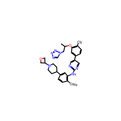 COc1ccc(C2CCN(C3COC3)CC2)cc1Nc1ncc(-c2ccc(C#N)c(OC(C)Cn3cnnn3)c2)cn1